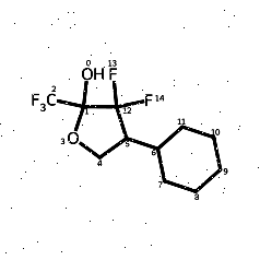 OC1(C(F)(F)F)OCC(C2CCCCC2)C1(F)F